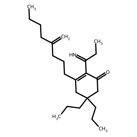 C=C(CCCC)CCCC1=C(C(=N)CC)C(=O)CC(CCC)(CCC)C1